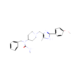 CNC(=O)N(Cc1ccccc1)C1CCN(Cc2nc(-c3ccc(OC)cc3)[nH]c2C)CC1